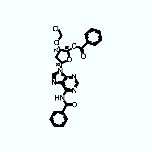 O=C(Nc1ncnc2c1ncn2[C@H]1C[C@H](OCCl)[C@@H](OC(=O)c2ccccc2)O1)c1ccccc1